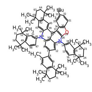 Cc1cc2c(cc1-c1cc3c4c(c1)N(c1ccc5c(c1)C(C)(C)CCC5(C)C)c1oc5ccc(C(C)(C)C)cc5c1B4c1cc4c(cc1N3c1ccc3c(c1)C(C)(C)CCC3(C)C)C(C)(C)CCC4(C)C)C(C)(C)CCC2(C)C